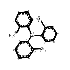 Cc1cccc[c]1[Ga]([c]1ccccc1C)[c]1ccccc1C